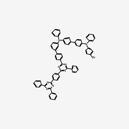 CC(C)c1ccc(N(c2ccccc2)c2ccc(-c3ccc(N(c4ccccc4)c4cccc(-c5ccc(-c6nc(-c7ccccc7)nc(-c7ccc(-c8nc(-c9ccccc9)nc(-c9ccccc9)n8)cc7)n6)cc5)c4)cc3)cc2)cc1